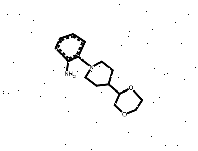 Nc1ccccc1N1CCC(C2COCCO2)CC1